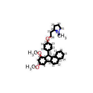 COc1cc(OC)c2c(c1)-c1ccc3ccccc3c1C2c1ccc(OCCC2CCCN2C)cc1